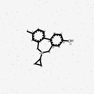 Cc1ccc2c(c1)CN(C1CC1)Cc1cc(O)ccc1-2